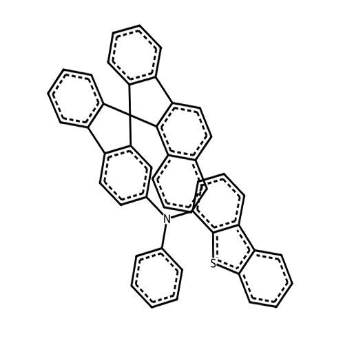 c1ccc(N(c2ccc3c(c2)C2(c4ccccc4-3)c3ccccc3-c3ccc4ccccc4c32)c2cccc3c2sc2ccccc23)cc1